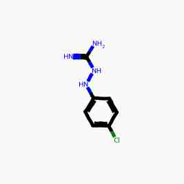 N=C(N)NNc1ccc(Cl)cc1